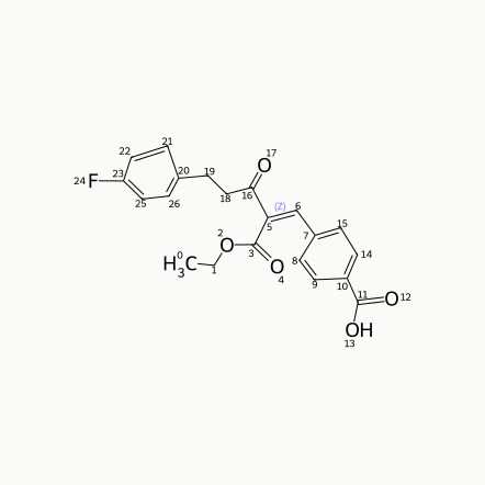 CCOC(=O)/C(=C\c1ccc(C(=O)O)cc1)C(=O)CCc1ccc(F)cc1